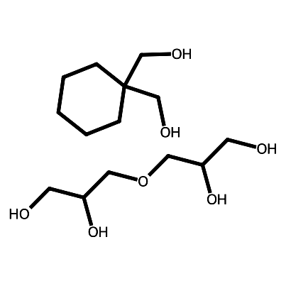 OCC(O)COCC(O)CO.OCC1(CO)CCCCC1